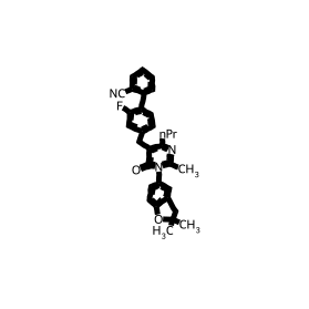 CCCc1nc(C)n(-c2ccc3c(c2)CC(C)(C)O3)c(=O)c1Cc1ccc(-c2ccccc2C#N)c(F)c1